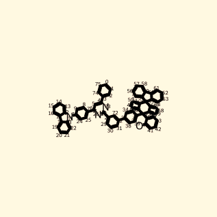 c1ccc(-c2cc(-c3ccc(-n4c5ccccc5c5ccccc54)cc3)nc(-c3cccc(-c4ccc5c(c4)Oc4ccccc4C54c5ccccc5C5(c6ccccc6-c6ccccc65)c5ccccc54)c3)n2)cc1